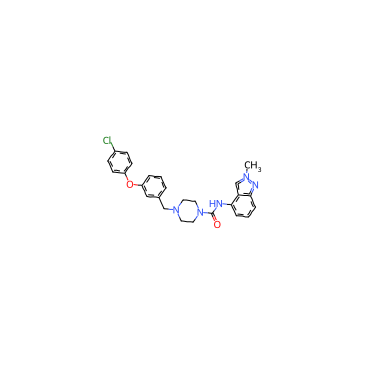 Cn1cc2c(NC(=O)N3CCN(Cc4cccc(Oc5ccc(Cl)cc5)c4)CC3)cccc2n1